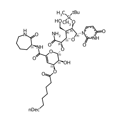 CCCCCCCCCCCCCCCC(=O)O[C@H]1C=C(C(=O)N[C@H]2CCCCNC2=O)O[C@H](O[C@@H](C(N)=O)[C@H]2O[C@@H](n3ccc(=O)[nH]c3=O)[C@H](O[Si](C)(C)C(C)(C)C)[C@@H]2CO)[C@H]1O